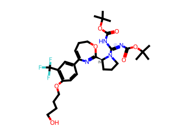 CC(C)(C)OC(=O)/N=C(/NC(=O)OC(C)(C)C)N1CCC[C@H]1C1=NC(c2ccc(OCCCCO)c(C(F)(F)F)c2)=CCCO1